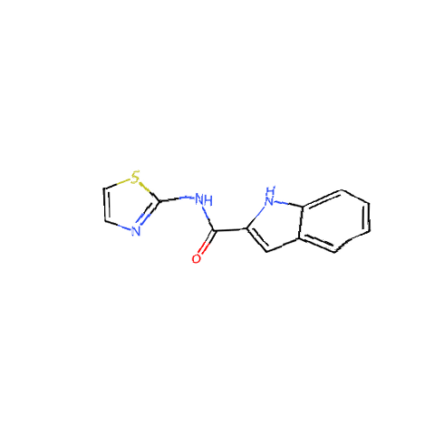 O=C(Nc1nccs1)c1cc2ccccc2[nH]1